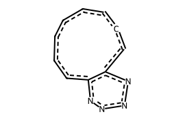 c1ccccc2nnnnc2ccc1